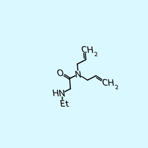 C=CCN(CC=C)C(=O)CNCC